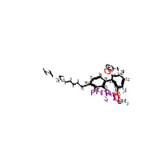 CCCCCCc1ccc(-c2c(OC)cccc2OC)c(P)c1P